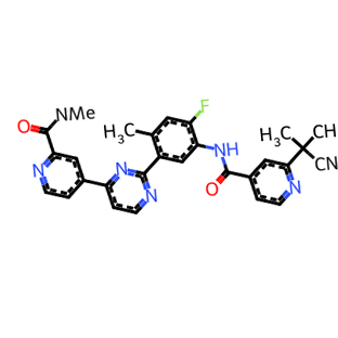 CNC(=O)c1cc(-c2ccnc(-c3cc(NC(=O)c4ccnc(C(C)(C)C#N)c4)c(F)cc3C)n2)ccn1